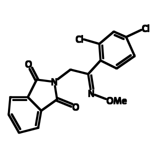 CON=C(CN1C(=O)c2ccccc2C1=O)c1ccc(Cl)cc1Cl